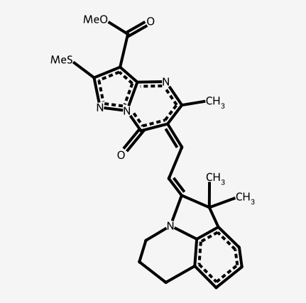 COC(=O)c1c(SC)nn2c(=O)/c(=C\C=C3\N4CCCc5cccc(c54)C3(C)C)c(C)nc12